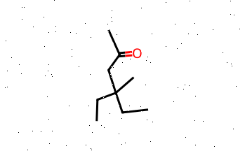 CCC(C)(CC)CC(C)=O